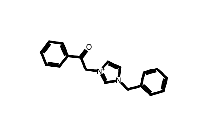 O=C(C[n+]1ccn(Cc2ccccc2)c1)c1ccccc1